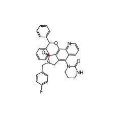 O=C1c2c(c(N3CCCNC3=O)c3cccnc3c2OC(c2ccccc2)c2ccccc2)CN1Cc1ccc(F)cc1